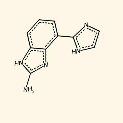 Nc1nc2c(-c3ncc[nH]3)cccc2[nH]1